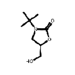 CC(C)(C)N1C[C@H](CO)OC1=O